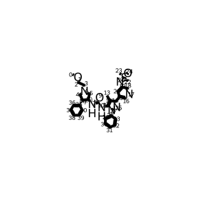 COCCN1C[C@@H](NC(=O)Nc2c(C)c(-c3cncc(N=S(C)(C)=O)c3)nn2-c2ccccc2)[C@H](c2ccccc2)C1